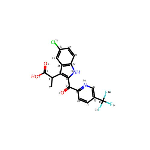 CC(C(=O)O)c1c(C(=O)c2ccc(C(F)(F)F)cn2)[nH]c2ccc(Cl)cc12